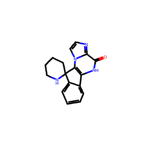 O=c1[nH]c2c(n3ccnc13)C1(CCCCN1)c1ccccc1-2